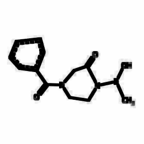 CB(O)N1CCN(C(=O)c2ccccc2)CC1=O